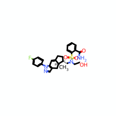 C[C@]12Cc3cnn(-c4ccc(F)cc4)c3C=C1CC[C@@H]2CN(CCO)S(=O)(=O)c1ccccc1C(N)=O